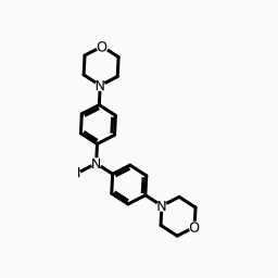 IN(c1ccc(N2CCOCC2)cc1)c1ccc(N2CCOCC2)cc1